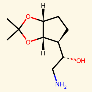 CC1(C)O[C@H]2[C@H]([C@H](O)CN)CC[C@H]2O1